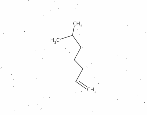 C=CCC[CH]C(C)C